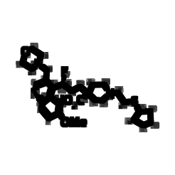 COc1ccc2ncc(CN3CCOCC3)c([C@@H](F)CCC3(C(=O)O)CCN(CCSC4CCCC4)CC3)c2c1